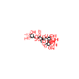 O=C(O[C@@H]1OC2COC(=O)c3cc(O)c(O)c(O)c3-c3c(cc(O)c(O)c3O)C(=O)OC(C1O)[C@@H]2O)c1cc(O)c(O)c(O)c1